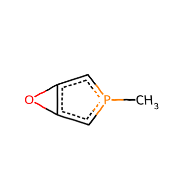 Cp1cc2c(c1)O2